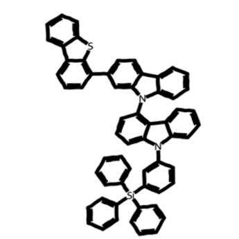 c1ccc([Si](c2ccccc2)(c2ccccc2)c2cccc(-n3c4ccccc4c4c(-n5c6ccccc6c6ccc(-c7cccc8c7sc7ccccc78)cc65)cccc43)c2)cc1